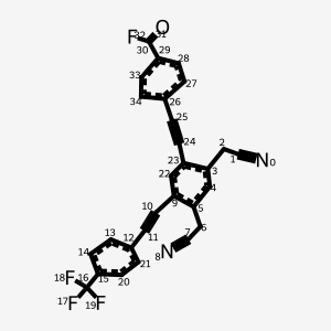 N#CCc1cc(CC#N)c(C#Cc2ccc(C(F)(F)F)cc2)cc1C#Cc1ccc(C(=O)F)cc1